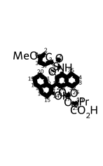 COc1ccc(S(=O)(=O)Nc2cc(-c3c(O)ccc4ccccc34)c(OC(=O)O[C@H](C(=O)O)C(C)C)c3ccccc23)cc1